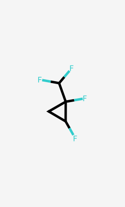 FC(F)C1(F)CC1F